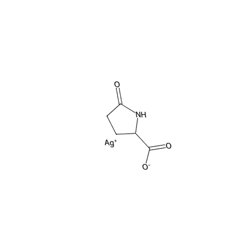 O=C1CCC(C(=O)[O-])N1.[Ag+]